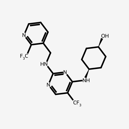 O[C@H]1CC[C@@H](Nc2nc(NCc3cccnc3C(F)(F)F)ncc2C(F)(F)F)CC1